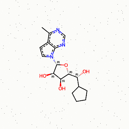 Cc1ncnc2c1ccn2[C@@H]1O[C@H]([C@H](O)C2CCCC2)[C@@H](O)[C@H]1O